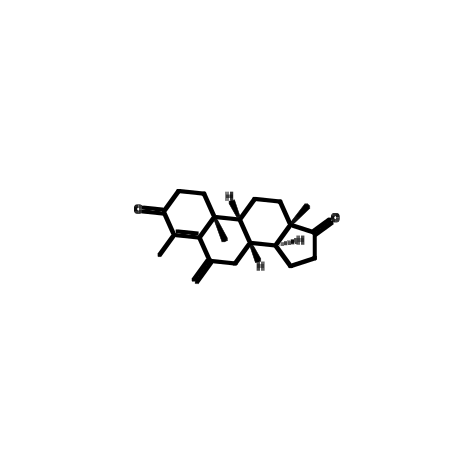 C=C1C[C@@H]2[C@@H](CC[C@]3(C)C(=O)CC[C@@H]23)[C@@]2(C)CCC(=O)C(C)=C12